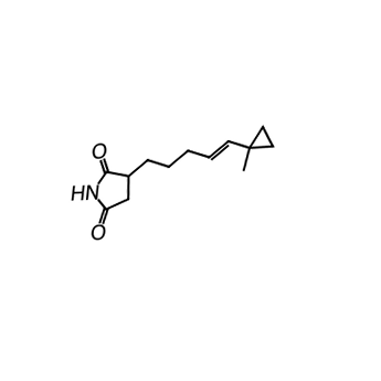 CC1(/C=C/CCCC2CC(=O)NC2=O)CC1